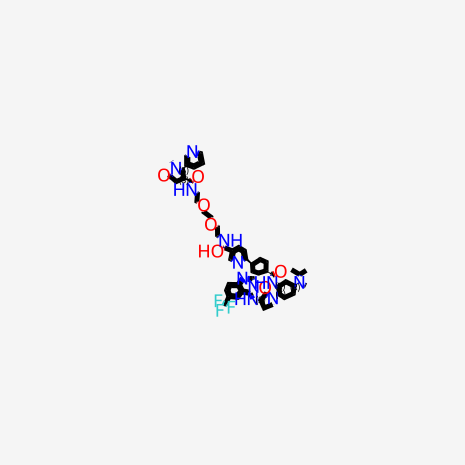 CC(C)N(C)[C@@H]1CC[C@H](N2CC[C@H](Nc3ncnc4ccc(C(F)(F)F)cc34)C2=O)[C@H](NC(=O)[C@H]2CC[C@H](c3ccc(C(O)NCCOCCOCCNC(=O)[C@H]4CC(=O)N(C)[C@@H]4c4cccnc4)cn3)CC2)C1